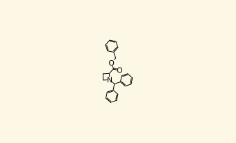 O=C(OCc1ccccc1)C1CCN1C(c1ccccc1)c1ccccc1